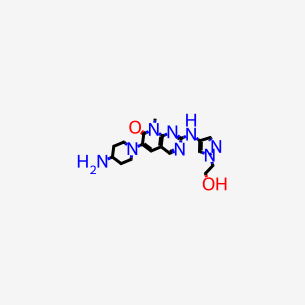 Cn1c(=O)c(N2CCC(N)CC2)cc2cnc(Nc3cnn(CCO)c3)nc21